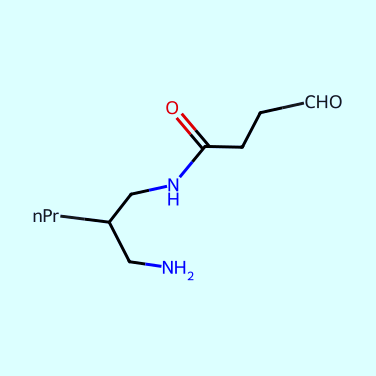 CCCC(CN)CNC(=O)CCC=O